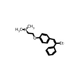 C[CH]C(=Cc1ccc(OCCN(C)C)cc1)c1ccccc1